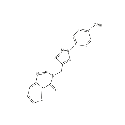 COc1ccc(-n2cc(Cn3nnc4ccccc4c3=O)nn2)cc1